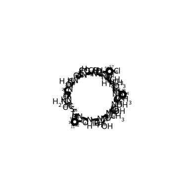 CC(C)C1NC(=O)[C@H](Cc2ccccc2)NC(=O)CSC[C@@H](C(N)=O)NC(=O)[C@@H]2CCCN2C(=O)[C@H](C)NC(=O)C(CC(=O)O)NC(=O)[C@H](C)N(C)C(=O)[C@H](Cc2ccc(Cl)cc2)NC(=O)[C@H](C)N(C)C(=O)[C@H](Cc2ccccc2)NC(=O)[C@H]([C@@H](C)O)NC(=O)[C@H]([C@@H](C)O)NC(=O)[C@H](CCO)NC1=O